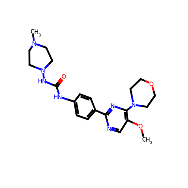 COc1cnc(-c2ccc(NC(=O)NN3CCN(C)CC3)cc2)nc1N1CCOCC1